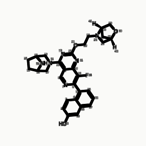 Oc1ccc2c(-c3ncc4c(N5CC6CCC(C5)N6)nc(OCCN5C[C@@H]6C[C@H]5CO6)nc4c3F)cccc2c1